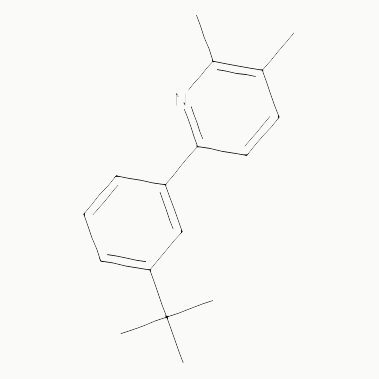 Cc1ccc(-c2cccc(C(C)(C)C)c2)nc1C